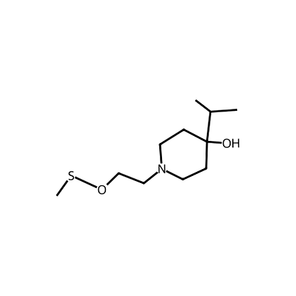 CSOCCN1CCC(O)(C(C)C)CC1